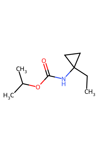 CCC1(NC(=O)OC(C)C)CC1